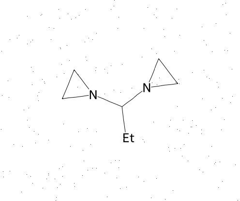 CCC(N1CC1)N1CC1